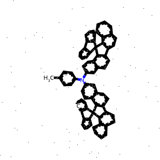 Cc1ccc(N(c2ccc3c4c(ccc3c2)-c2ccc3ccccc3c2C42c3ccccc3-c3ccccc32)c2ccc3c4c(ccc3c2)-c2ccc3ccccc3c2C42c3ccccc3-c3ccccc32)cc1